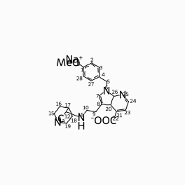 COc1ccc(CN2C=C(CCNC3CN4CCC3CC4)C3C(C(=O)[O-])=CC=NC32)cc1.[Na+]